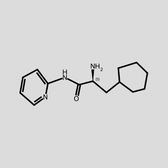 N[C@@H](CC1CCCCC1)C(=O)Nc1ccccn1